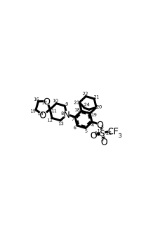 O=S(=O)(Oc1ccc(N2CCC3(CC2)OCCO3)c2c1C1CCC2CC1)C(F)(F)F